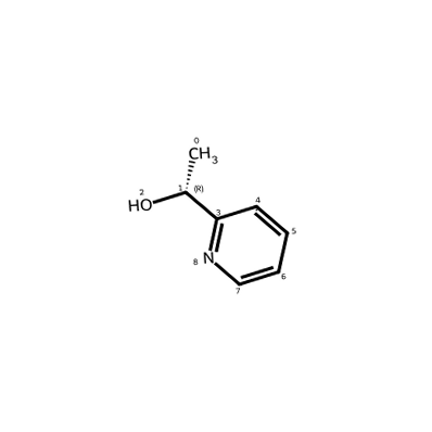 C[C@@H](O)c1[c]cccn1